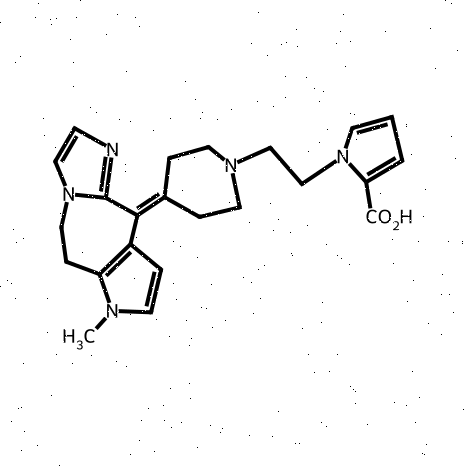 Cn1ccc2c1CCn1ccnc1C2=C1CCN(CCn2cccc2C(=O)O)CC1